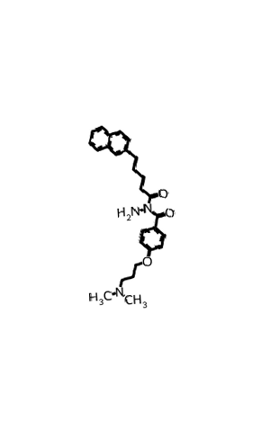 CN(C)CCCOc1ccc(C(=O)N(N)C(=O)CCCCc2ccc3ccccc3c2)cc1